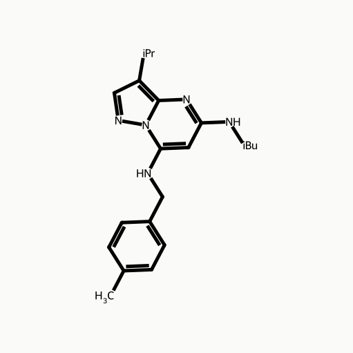 CCC(C)Nc1cc(NCc2ccc(C)cc2)n2ncc(C(C)C)c2n1